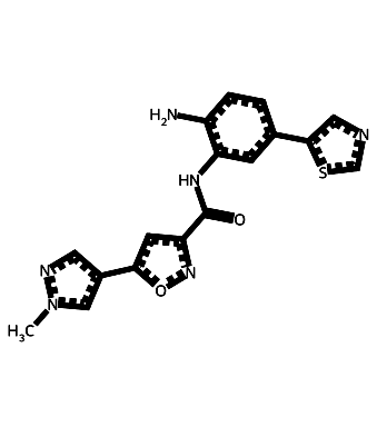 Cn1cc(-c2cc(C(=O)Nc3cc(-c4cncs4)ccc3N)no2)cn1